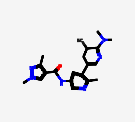 Cc1nn(C)cc1C(=O)Nc1cnc(C)c(C2=CN=C(N(C)C)C(C#N)C2)c1